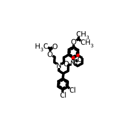 CC(=O)OCCN(CC(CC[N+]12CCC(CC1)CC2)c1ccc(Cl)c(Cl)c1)C(=O)Cc1cccc(OC(C)C)c1